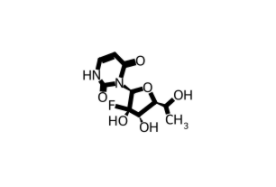 CC(O)[C@@H]1O[C@H](n2c(=O)cc[nH]c2=O)[C@@](O)(F)[C@H]1O